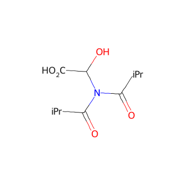 CC(C)C(=O)N(C(=O)C(C)C)C(O)C(=O)O